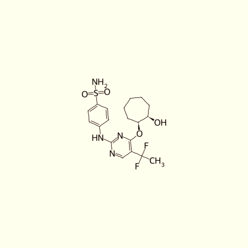 CC(F)(F)c1cnc(Nc2ccc(S(N)(=O)=O)cc2)nc1O[C@H]1CCCCC[C@H]1O